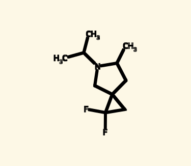 CC(C)N1CC2(CC1C)CC2(F)F